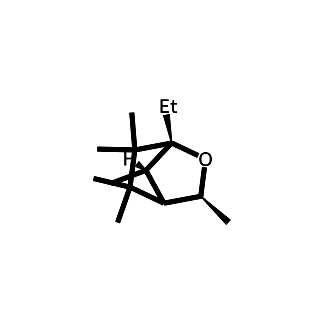 CC[C@@]12O[C@@H](C)C([C@@H]1C)C(C)(C)C2(C)C